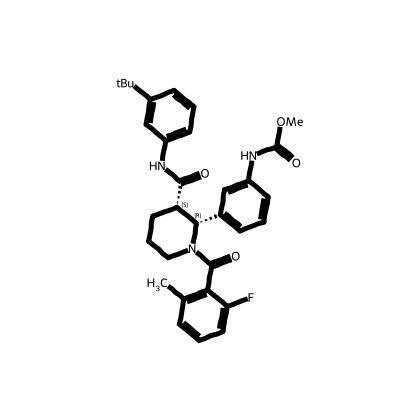 COC(=O)Nc1cccc([C@H]2[C@@H](C(=O)Nc3cccc(C(C)(C)C)c3)CCCN2C(=O)c2c(C)cccc2F)c1